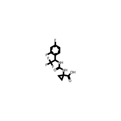 O=C(NC(c1ccc(F)cc1F)C(F)(F)F)NC1(C(=O)O)CC1